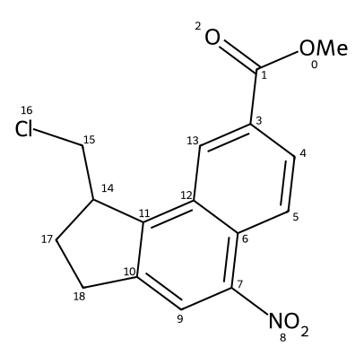 COC(=O)c1ccc2c([N+](=O)[O-])cc3c(c2c1)C(CCl)CC3